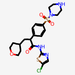 O=C(Nc1ncc(Cl)s1)C(CC1CCOCC1)c1ccc(S(=O)(=O)N2CCNCC2)cc1